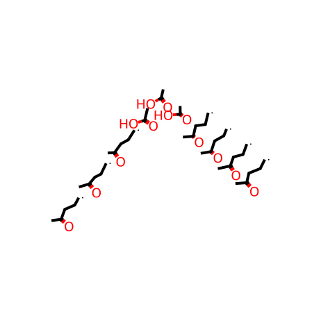 CC(=O)O.CC(=O)O.CC(=O)O.[CH2]CCC(C)=O.[CH2]CCC(C)=O.[CH2]CCC(C)=O.[CH2]CCC(C)=O.[CH2]CCC(C)=O.[CH2]CCC(C)=O.[CH2]CCC(C)=O